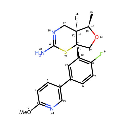 COc1ccc(-c2ccc(F)c([C@]34CO[C@H](C)[C@@H]3CN=C(N)S4)c2)cn1